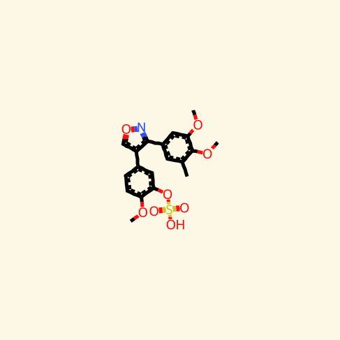 COc1ccc(-c2conc2-c2cc(C)c(OC)c(OC)c2)cc1OS(=O)(=O)O